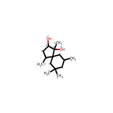 CC1CC(C)(C)CC2(C1)C(C)CC(O)C2(C)O